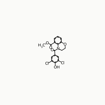 COC(=O)c1cccc2c1N(C(=O)c1cc(Cl)c(O)c(Cl)c1)CCO2